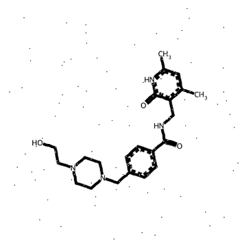 Cc1cc(C)c(CNC(=O)c2ccc(CN3CCN(CCO)CC3)cc2)c(=O)[nH]1